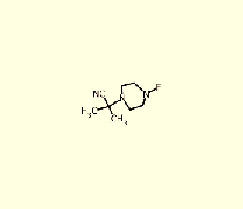 CC(C)(C#N)N1CCN(F)CC1